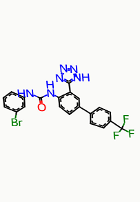 O=C(Nc1cccc(Br)c1)Nc1ccc(-c2ccc(C(F)(F)F)cc2)cc1-c1nnn[nH]1